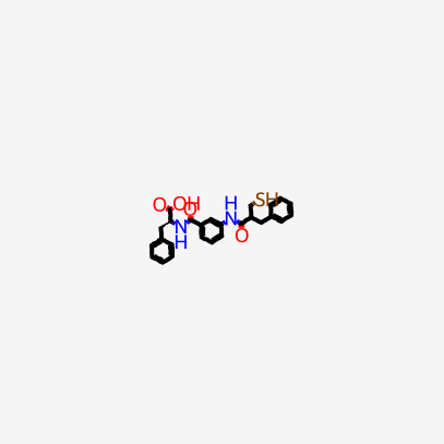 O=C(N[C@@H](Cc1ccccc1)C(=O)O)c1cccc(NC(=O)C(CS)Cc2ccccc2)c1